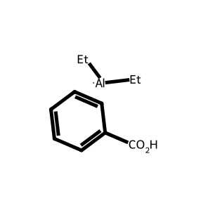 C[CH2][Al][CH2]C.O=C(O)c1ccccc1